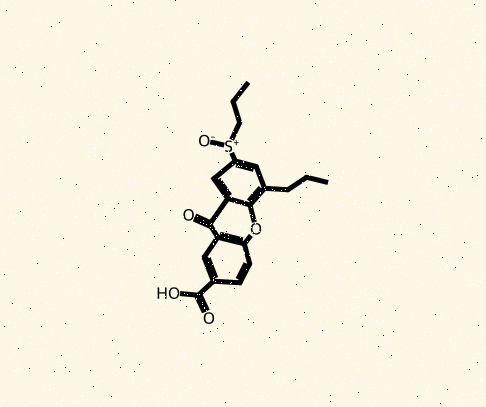 CCCc1cc([S+]([O-])CCC)cc2c(=O)c3cc(C(=O)O)ccc3oc12